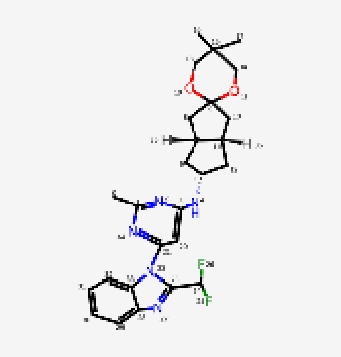 Cc1nc(N[C@@H]2C[C@@H]3CC4(C[C@@H]3C2)OCC(C)(C)CO4)cc(-n2c(C(F)F)nc3ccccc32)n1